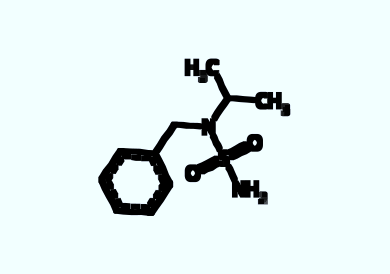 CC(C)N(Cc1ccccc1)S(N)(=O)=O